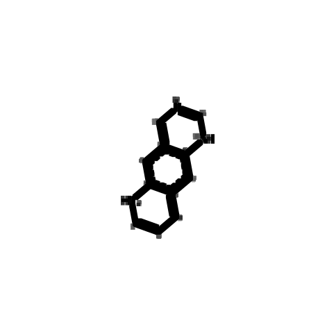 C1=CNc2cc3c(cc2=C1)NC=NC=3